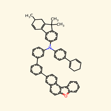 CC1C=CC2=C(C1)C(C)(C)c1ccc(N(c3ccc(C4=CCCC=C4)cc3)c3cccc(-c4cccc(-c5ccc6c(ccc7oc8ccccc8c76)c5)c4)c3)cc12